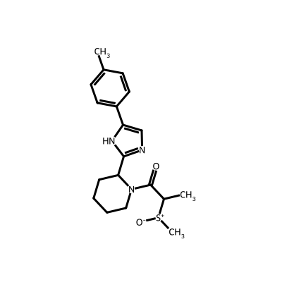 Cc1ccc(-c2cnc(C3CCCCN3C(=O)C(C)[S+](C)[O-])[nH]2)cc1